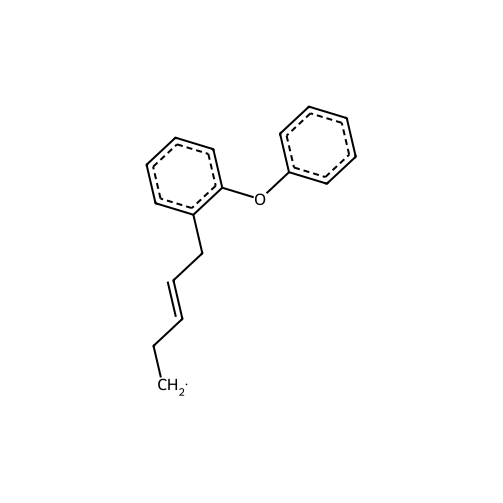 [CH2]C/C=C/Cc1ccccc1Oc1ccccc1